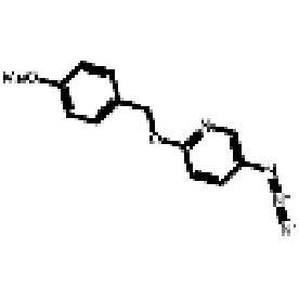 COc1ccc(COc2ccc(N=[N+]=[N-])cn2)cc1